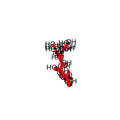 CCCC(=O)OCN(C(=O)[C@@H](NC(=O)[C@H]1CCCCN1C)C(C)CC)C(C[C@@H](OC(C)=O)c1nc(C(=O)N[C@@H](Cc2ccc(O)cc2)C[C@H](C)C(=O)N[C@@H](CSSCCC(=O)N[C@@H](CCC(=O)NC[C@H](O)[C@@H](O)[C@H](O)[C@H](O)CO)C(=O)C(=O)CCCC(=O)NC[C@H](O)[C@@H](O)[C@H](O)[C@H](O)CO)C(=O)O)cs1)C(C)C